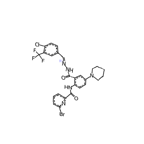 O=C(Nc1ccc(N2CCCCC2)cc1C(=O)N/N=C/c1ccc(Cl)c(C(F)(F)F)c1)c1cccc(Br)n1